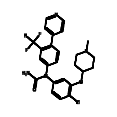 CN1CCC(Oc2cc(N(C(N)=O)c3ccc(-c4ccncc4)c(C(F)(F)F)c3)ccc2Cl)CC1